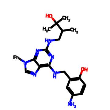 CC(C)n1cnc2c(NCc3cc(N)ccc3O)nc(NCC(C)C(C)(C)O)nc21